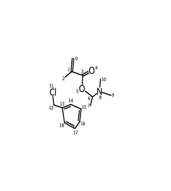 C=C(C)C(=O)OC(C)N(C)C.ClCc1ccccc1